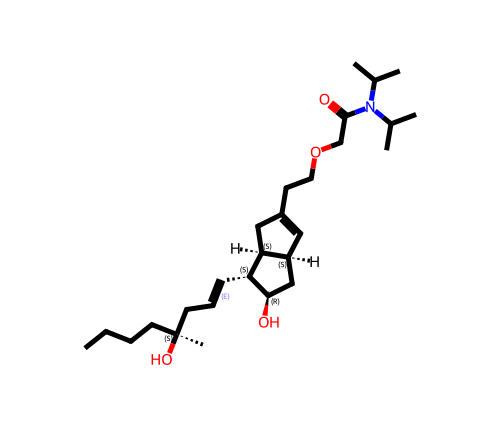 CCCC[C@](C)(O)C/C=C/[C@@H]1[C@H]2CC(CCOCC(=O)N(C(C)C)C(C)C)=C[C@H]2C[C@H]1O